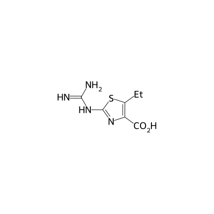 CCc1sc(NC(=N)N)nc1C(=O)O